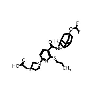 CCCSc1nc(N2CC[C@@H](CC(=O)O)C2)ccc1C(=O)N[C@H]1C2CC3CC1C[C@@](OC(F)F)(C3)C2